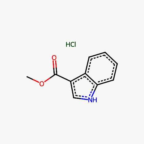 COC(=O)c1c[nH]c2ccccc12.Cl